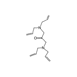 C=CCN(CC=C)CC(=O)CN(CC=C)CC=C